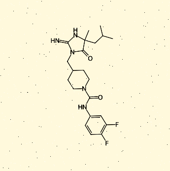 CC(C)CC1(C)NC(=N)N(CC2CCN(C(=O)Nc3ccc(F)c(F)c3)CC2)C1=O